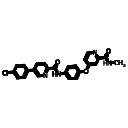 CNC(=O)c1cc(Oc2ccc(NC(=O)c3ccc(-c4ccc(Cl)cc4)cn3)cc2)ccn1